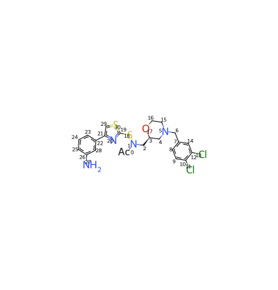 CC(=O)N(C[C@@H]1CN(Cc2ccc(Cl)c(Cl)c2)CCO1)Sc1nc(-c2cccc(N)c2)cs1